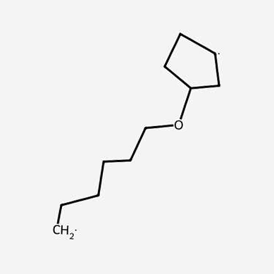 [CH2]CCCCCOC1C[CH]CC1